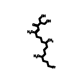 CC(=CC(=O)C(CO)CO)CCCC(C)CCCC(C)CCCC(C)C